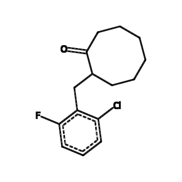 O=C1CCCCCCC1Cc1c(F)cccc1Cl